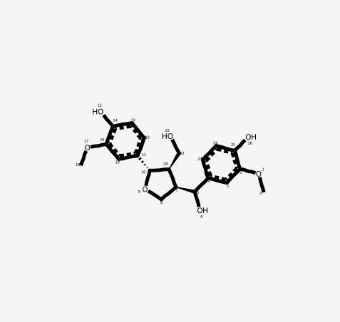 COc1cc(C(O)[C@H]2CO[C@H](c3ccc(O)c(OC)c3)[C@H]2CO)ccc1O